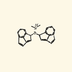 C[SiH](C)[Zr]([CH]1C=C2C=Cc3cccc1c32)[CH]1C=C2C=Cc3cccc1c32